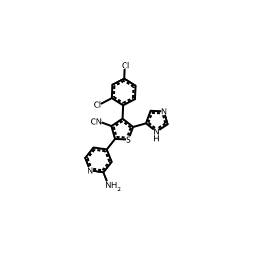 [C-]#[N+]c1c(-c2ccnc(N)c2)sc(-c2cnc[nH]2)c1-c1ccc(Cl)cc1Cl